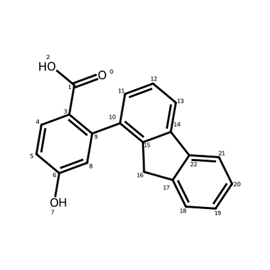 O=C(O)c1ccc(O)cc1-c1cccc2c1Cc1ccccc1-2